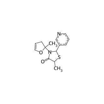 CC1SC(c2cccnc2)N(C2(C)CC=CO2)C1=O